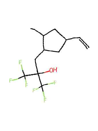 C=CC1CC(C)C(CC(O)(C(F)(F)F)C(F)(F)F)C1